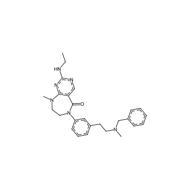 CCNc1ncc2c(n1)N(C)CCN(c1cccc(CCN(C)Cc3ccccc3)c1)C2=O